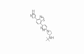 CC(C)(C)NC1CCN(c2ccc(-c3ccc(-c4cn[nH]c4)c4ncsc34)nn2)C1